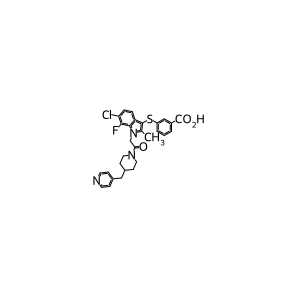 Cc1c(Sc2cccc(C(=O)O)c2)c2ccc(Cl)c(F)c2n1CC(=O)N1CCC(Cc2ccncc2)CC1